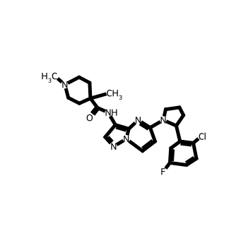 CN1CCC(C)(C(=O)Nc2cnn3ccc(N4CCCC4c4cc(F)ccc4Cl)nc23)CC1